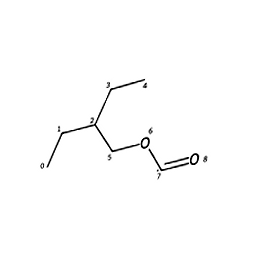 CCC(CC)CO[C]=O